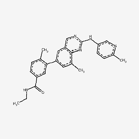 CCNC(=O)c1ccc(C)c(-c2cc(C)c3nc(Nc4ccc(C)nc4)ncc3c2)c1